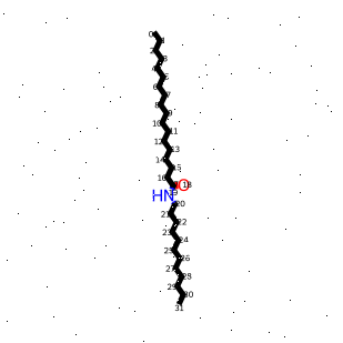 CCCCCCCCCCCCCCCCCC(=O)NCCCCCCCCCCCC